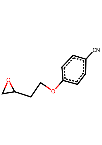 N#Cc1ccc(OCCC2CO2)cc1